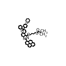 C=C(C)C(=O)OCCCCOc1nc(-c2ccc3ccc4cccc5ccc2c3c45)nc2ccc3c(c12)C=CC(c1ccccc1)(c1ccc(N2CCCCC2)cc1)O3